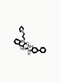 N=C(Nc1ccc(-c2ccccc2)cc1)NC(Cc1ccccc1)C(=O)NCCCN1CCCC1